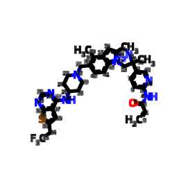 C=CC(=O)Nc1ccc(C(C)(N)Cn2c(C)cc3c(C)c(CN4CCC(Nc5ncnc6sc(CC(F)(F)F)cc56)CC4)ccc32)cn1